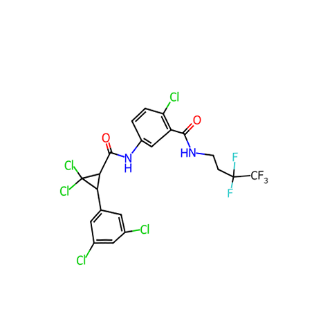 O=C(NCCC(F)(F)C(F)(F)F)c1cc(NC(=O)C2C(c3cc(Cl)cc(Cl)c3)C2(Cl)Cl)ccc1Cl